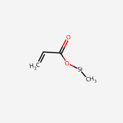 C=CC(=O)O[Si]C